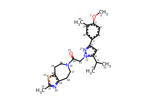 COc1ccc(-c2cc(C(C)C)n(CC(=O)N3CCc4nc(C)sc4CC3)n2)cc1C